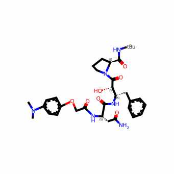 CN(C)c1ccc(OCC(=O)N[C@@H](CC(N)=O)C(=O)N[C@@H](Cc2ccccc2)[C@H](O)C(=O)N2CCC[C@H]2C(=O)NC(C)(C)C)cc1